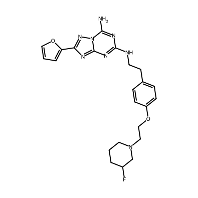 Nc1nc(NCCc2ccc(OCCN3CCCC(F)C3)cc2)nc2nc(-c3ccco3)nn12